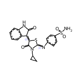 NS(=O)(=O)c1ccc(/N=C2\S/C(=C3\C(=O)Nc4ccccc43)C(=O)N2C2CC2)cc1